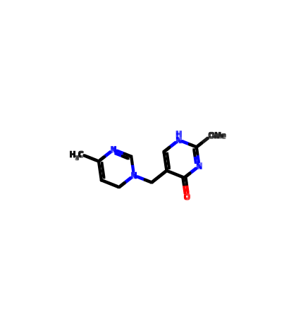 COc1nc(=O)c(CN2C=NC(C)=CC2)c[nH]1